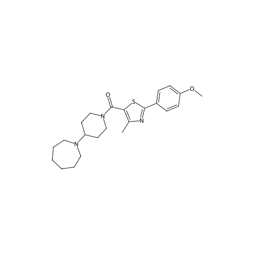 COc1ccc(-c2nc(C)c(C(=O)N3CCC(N4CCCCCC4)CC3)s2)cc1